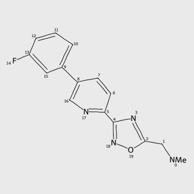 CNCc1nc(-c2ccc(-c3cccc(F)c3)cn2)no1